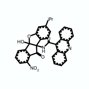 CC(C)c1ccc2c(c1)OC1(O)c3cccc([N+](=O)[O-])c3C(=O)C21NC(=O)c1c2ccccc2nc2ccccc12